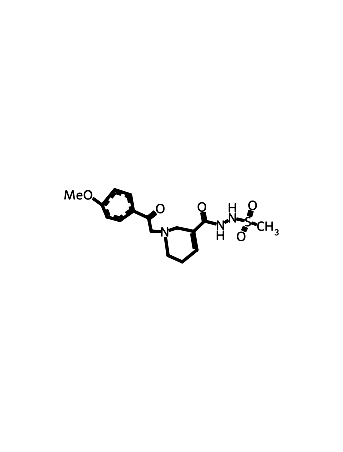 COc1ccc(C(=O)CN2CCC=C(C(=O)NNS(C)(=O)=O)C2)cc1